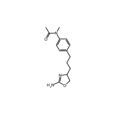 CC(=O)N(C)c1ccc(CCCC2COC(N)=N2)cc1